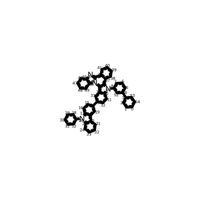 c1ccc(-c2cccc(-n3c4ccc(-c5ccc6c(c5)c5ccccc5n6-c5ccccc5)cc4c4c3c3ccccc3c3nc5ccccc5n34)c2)cc1